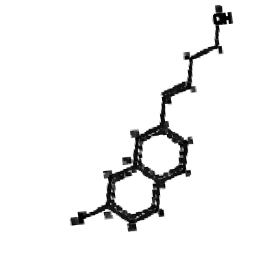 OCCC=Cc1ccc2ccc(F)cc2c1